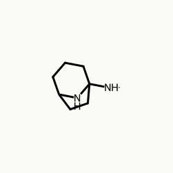 [NH]C12CCCC(CC1)N2